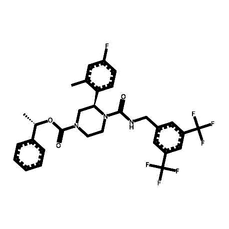 Cc1cc(F)ccc1[C@@H]1CN(C(=O)O[C@@H](C)c2ccccc2)CCN1C(=O)NCc1cc(C(F)(F)F)cc(C(F)(F)F)c1